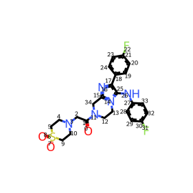 O=C(CN1CCS(=O)(=O)CC1)N1CCn2c(nc(-c3ccc(F)cc3)c2Nc2ccc(F)cc2)C1